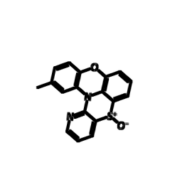 Cc1ccc2c(c1)N1c3ncccc3[S+]([O-])c3cccc(c31)O2